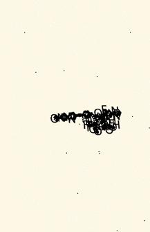 COC(=O)NC(C(=O)N[C@@H](Cc1ccc(C#Cc2ccc(N3CCN(C4COC4)CC3)nc2)cc1)[C@@H](O)CN(Cc1c(F)cc(-c2ncccn2)cc1F)NC(=O)[C@@H](NC(=O)OC)C(C)(C)C)C(C)(C)C(F)(F)F